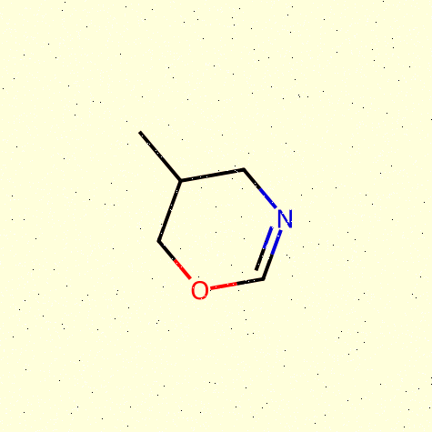 CC1CN=COC1